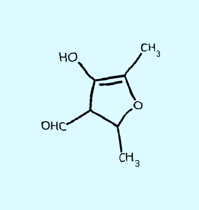 CC1=C(O)C(C=O)C(C)O1